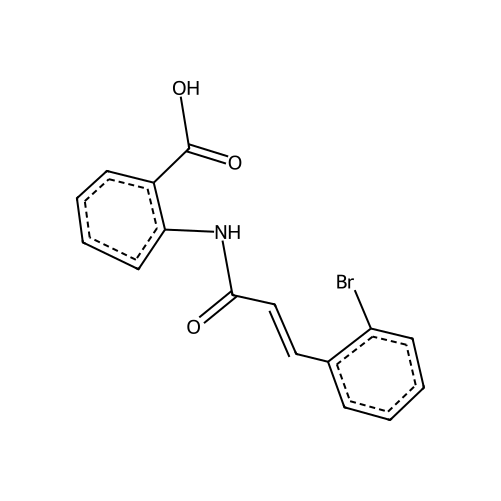 O=C(C=Cc1ccccc1Br)Nc1ccccc1C(=O)O